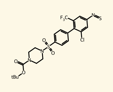 CC(C)(C)OC(=O)N1CCN(S(=O)(=O)c2ccc(-c3c(Cl)cc(N=S)cc3C(F)(F)F)cc2)CC1